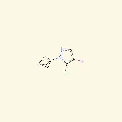 Clc1c(I)cnn1C12CC(C1)C2